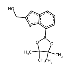 CC1(C)OB(c2cccc3cc(CO)sc23)OC1(C)C